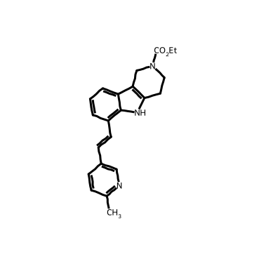 CCOC(=O)N1CCc2[nH]c3c(/C=C/c4ccc(C)nc4)cccc3c2C1